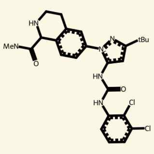 CNC(=O)C1NCCc2cc(-n3nc(C(C)(C)C)cc3NC(=O)Nc3cccc(Cl)c3Cl)ccc21